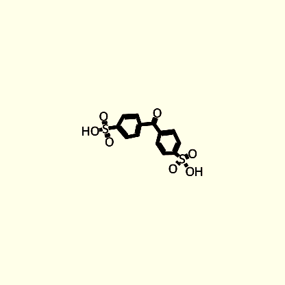 O=C(c1ccc(S(=O)(=O)O)cc1)c1ccc(S(=O)(=O)O)cc1